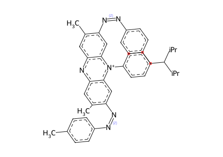 Cc1ccc(/N=N\c2cc3c(cc2C)nc2cc(C)c(/N=N\c4ccc(CC(C(C)C)C(C)C)cc4)cc2[n+]3-c2ccccc2)cc1